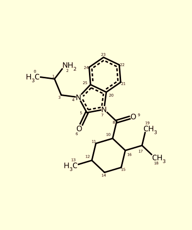 CC(N)Cn1c(=O)n(C(=O)C2CC(C)CCC2C(C)C)c2ccccc21